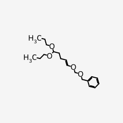 CCCOC(CCC=COCOCc1ccccc1)OCCC